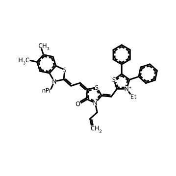 C=CCn1c(=O)/c(=C\C=C2/Sc3cc(C)c(C)cc3N2CCC)s/c1=C\c1sc(-c2ccccc2)c(-c2ccccc2)[n+]1CC